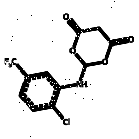 O=C1CC(=O)OC(Nc2cc(C(F)(F)F)ccc2Cl)O1